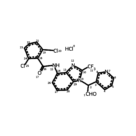 Cl.O=CC(c1cccnc1)n1c(C(F)(F)F)nc2c(NC(=O)c3c(Cl)cccc3Cl)cccc21